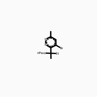 CCCCCC(C)(CC)c1nnc(C)cc1Br